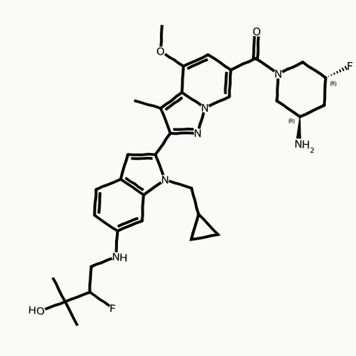 COc1cc(C(=O)N2C[C@H](N)C[C@@H](F)C2)cn2nc(-c3cc4ccc(NCC(F)C(C)(C)O)cc4n3CC3CC3)c(C)c12